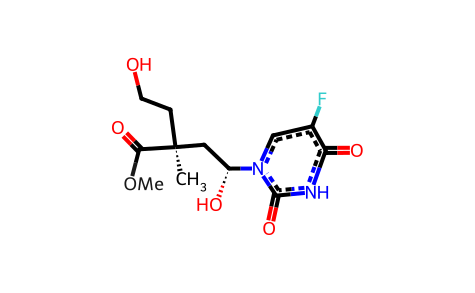 COC(=O)[C@@](C)(CCO)C[C@@H](O)n1cc(F)c(=O)[nH]c1=O